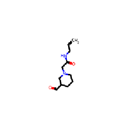 C=CCNC(=O)CN1CCCC(C=O)C1